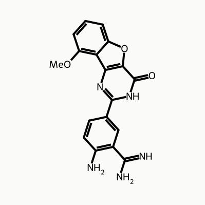 COc1cccc2oc3c(=O)[nH]c(-c4ccc(N)c(C(=N)N)c4)nc3c12